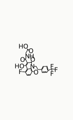 O=C(O)CNC(=O)c1c(O)c2c(F)ccc3c2n(c1=O)CC(c1ccc(C(F)(F)F)cc1)O3